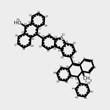 CC12C=CC=CC1=C(c1ccc3sc4cc(-c5c6ccccc6c(O)c6ccccc56)ccc4c3c1)c1ccccc1C2c1ccccc1